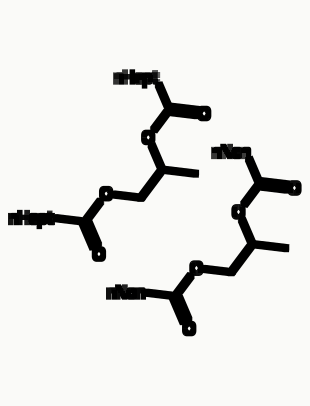 CCCCCCCC(=O)OCC(C)OC(=O)CCCCCCC.CCCCCCCCCC(=O)OCC(C)OC(=O)CCCCCCCCC